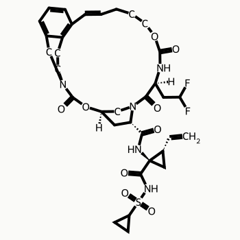 C=C[C@@H]1C[C@]1(NC(=O)[C@@H]1C[C@@H]2CN1C(=O)[C@H](CC(F)F)NC(=O)OCCC/C=C/c1cccc3c1CCN(C3)C(=O)O2)C(=O)NS(=O)(=O)C1CC1